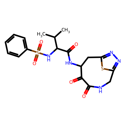 CC(C)C(NS(=O)(=O)c1ccccc1)C(=O)NC1Cc2nnc(s2)CNC(=O)C1=O